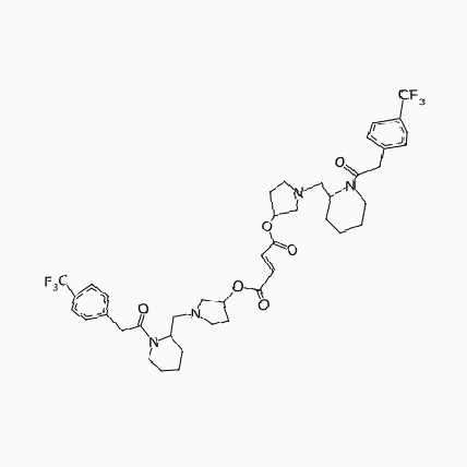 O=C(/C=C/C(=O)OC1CCN(CC2CCCCN2C(=O)Cc2ccc(C(F)(F)F)cc2)C1)OC1CCN(CC2CCCCN2C(=O)Cc2ccc(C(F)(F)F)cc2)C1